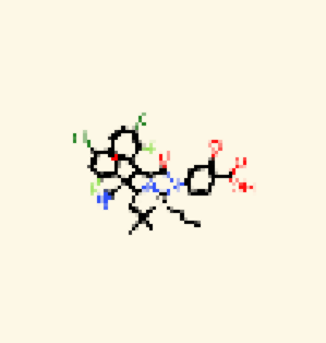 CCCC[C@@H]1N(c2ccc(C(=O)O)c(OC)c2)C(=O)C2=C(c3cccc(Cl)c3F)[C@@](C#N)(c3ccc(Cl)cc3F)[C@H](CC(C)(C)C)N21